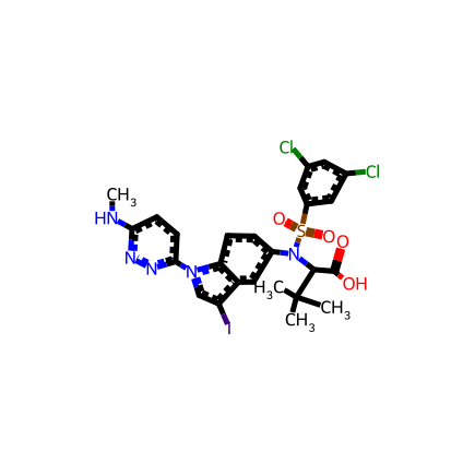 CNc1ccc(-n2cc(I)c3cc(N(C(C(=O)O)C(C)(C)C)S(=O)(=O)c4cc(Cl)cc(Cl)c4)ccc32)nn1